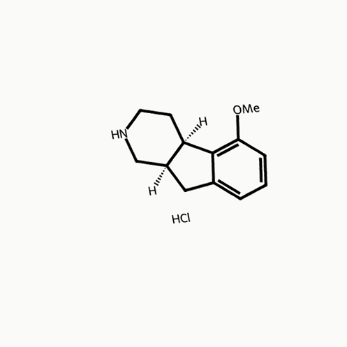 COc1cccc2c1[C@@H]1CCNC[C@@H]1C2.Cl